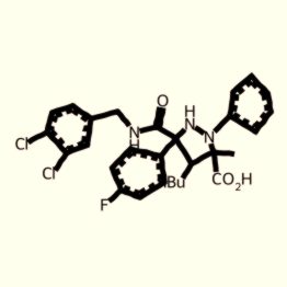 CCCCC1C(C(=O)NCc2ccc(Cl)c(Cl)c2)(c2ccc(F)cc2)NN(c2ccccc2)C1(C)C(=O)O